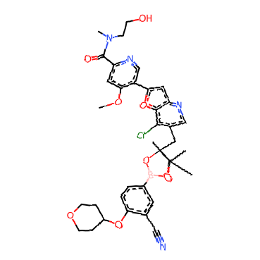 COc1cc(C(=O)N(C)CCO)ncc1-c1cc2ncc(CC3(C)OB(c4ccc(OC5CCOCC5)c(C#N)c4)OC3(C)C)c(Cl)c2o1